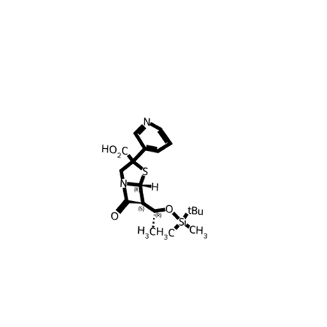 C[C@@H](O[Si](C)(C)C(C)(C)C)[C@H]1C(=O)N2CC(C(=O)O)(c3cccnc3)S[C@H]12